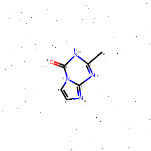 Cc1nc2nccn2c(=O)[nH]1